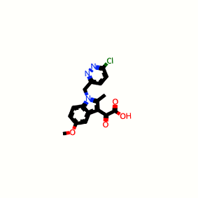 COc1ccc2c(c1)c(C(=O)C(=O)O)c(C)n2Cc1ccc(Cl)nn1